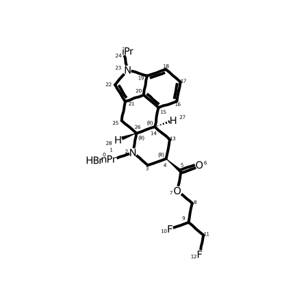 Br.CCCN1C[C@H](C(=O)OCC(F)CF)C[C@@H]2c3cccc4c3c(cn4C(C)C)C[C@H]21